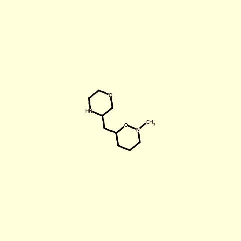 CN1CCCC(CC2COCCN2)O1